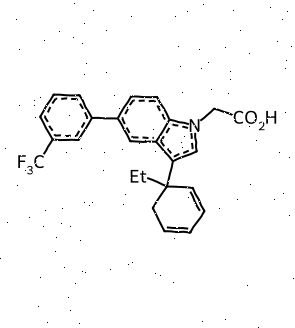 CCC1(c2cn(CC(=O)O)c3ccc(-c4cccc(C(F)(F)F)c4)cc23)C=CC=CC1